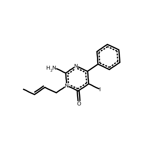 CC=CCn1c(N)nc(-c2ccccc2)c(I)c1=O